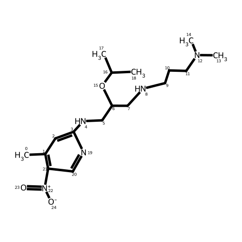 Cc1cc(NCC(CNCCCN(C)C)OC(C)C)ncc1[N+](=O)[O-]